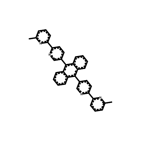 Cc1cccc(-c2ccc(-c3c4ccccc4c(-c4ccc(-c5cccc(C)n5)nc4)c4ccccc34)cn2)n1